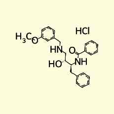 COc1cccc(CNC[C@@H](O)[C@H](Cc2ccccc2)NC(=O)c2ccccc2)c1.Cl